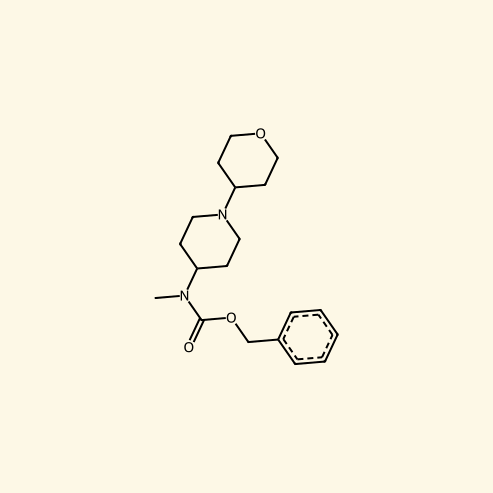 CN(C(=O)OCc1ccccc1)C1CCN(C2CCOCC2)CC1